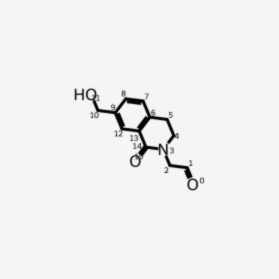 O=CCN1CCc2ccc(CO)cc2C1=O